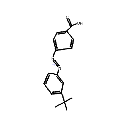 CC(C)(C)c1cccc(/N=N/c2ccc(C(=O)O)cc2)c1